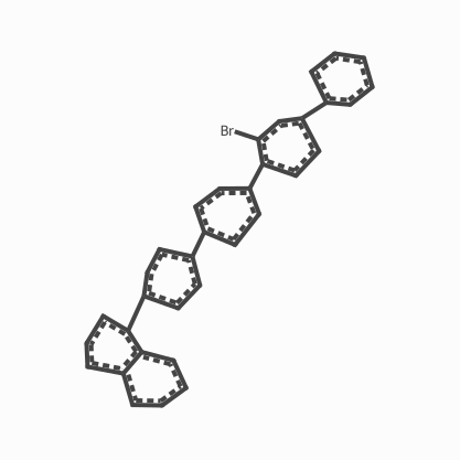 Brc1cc(-c2ccccc2)ccc1-c1ccc(-c2ccc(-c3cccc4ccccc34)cc2)cc1